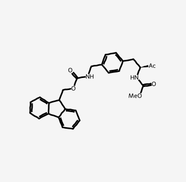 COC(=O)N[C@@H](Cc1ccc(CNC(=O)OCC2c3ccccc3-c3ccccc32)cc1)C(C)=O